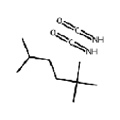 CC(C)CCC(C)(C)C.N=C=O.N=C=O